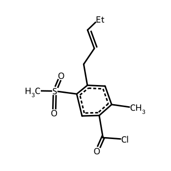 CCC=CCc1cc(C)c(C(=O)Cl)cc1S(C)(=O)=O